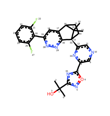 CC(C)(O)c1noc(-c2cncc([C@@]34CCC(c5cc(-c6c(F)cccc6F)nnc53)C4(C)C)n2)n1